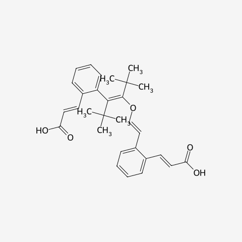 CC(C)(C)C(OC=Cc1ccccc1C=CC(=O)O)=C(c1ccccc1C=CC(=O)O)C(C)(C)C